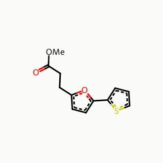 COC(=O)CCc1ccc(-c2cccs2)o1